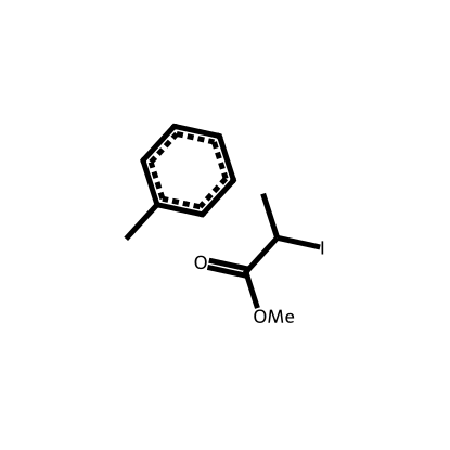 COC(=O)C(C)I.Cc1ccccc1